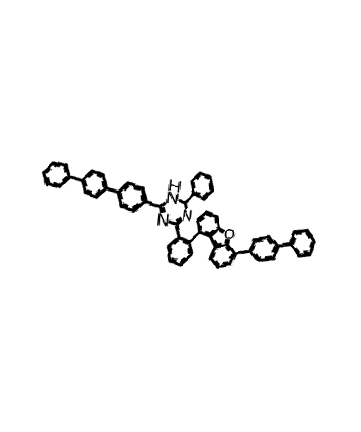 c1ccc(-c2ccc(-c3ccc(C4=NC(c5ccccc5-c5cccc6oc7c(-c8ccc(-c9ccccc9)cc8)cccc7c56)=NC(c5ccccc5)N4)cc3)cc2)cc1